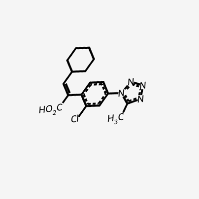 Cc1nnnn1-c1ccc(/C(=C\C2CCCCC2)C(=O)O)c(Cl)c1